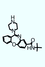 CC(C)(C)NC(=O)c1ccc2c(c1)N=C(N1CCNCC1)c1ccccc1O2